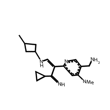 CNc1cc(/C(=C/NC2CC(C)C2)C(=N)C2CC2)ncc1CN